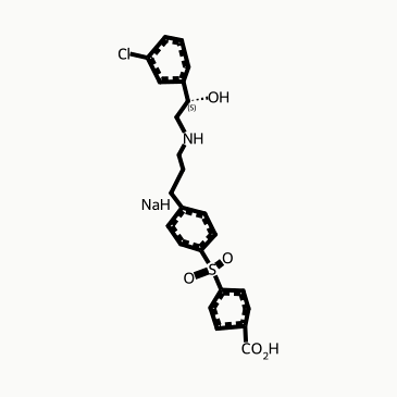 O=C(O)c1ccc(S(=O)(=O)c2ccc(CCCNC[C@@H](O)c3cccc(Cl)c3)cc2)cc1.[NaH]